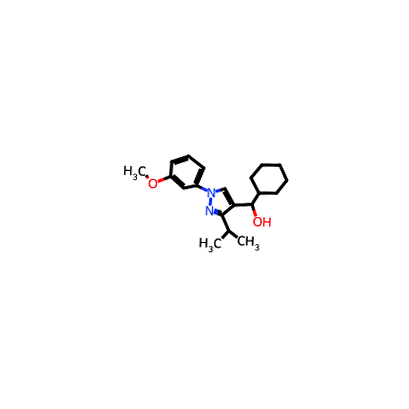 COc1cccc(-n2cc(C(O)C3CCCCC3)c(C(C)C)n2)c1